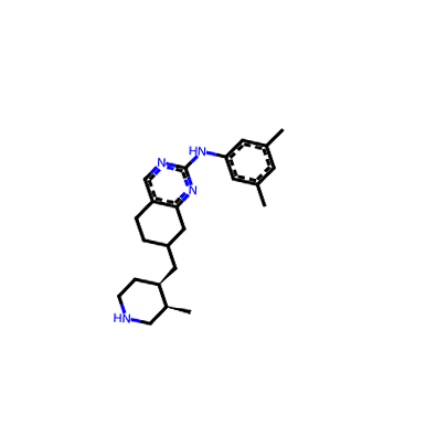 Cc1cc(C)cc(Nc2ncc3c(n2)CC(C[C@@H]2CCNC[C@@H]2C)CC3)c1